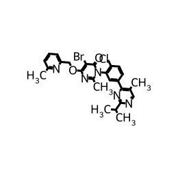 Cc1cccc(COc2nc(C)n(-c3cc(-c4nc(C(C)C)ncc4C)ccc3Cl)c(=O)c2Br)n1